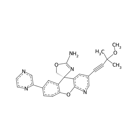 COC(C)(C)C#Cc1cnc2c(c1)[C@@]1(COC(N)=N1)c1cc(-c3cnccn3)ccc1O2